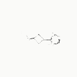 O=C(O)NC1CC(c2nnc[nH]2)C1